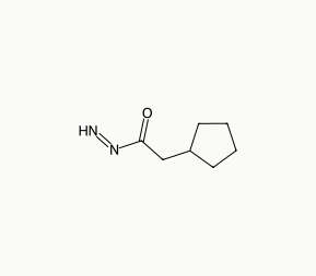 N=NC(=O)CC1CCCC1